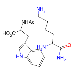 CC(=O)NC(Cc1c[nH]c2ccccc12)C(=O)O.NCCCCC(N)C(N)=O